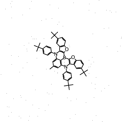 Cc1cc2c3c(c1)N(c1ccc(C(C)(C)C)cc1)c1c(oc4ccc(C(C)(C)C)cc14)B3c1oc3ccc(C(C)(C)C)cc3c1N2c1ccc(C(C)(C)C)cc1